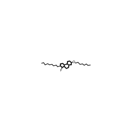 CCCCCCCCCc1ccc2c(ccc3cc(OCCCCCCCC)ccc32)c1F